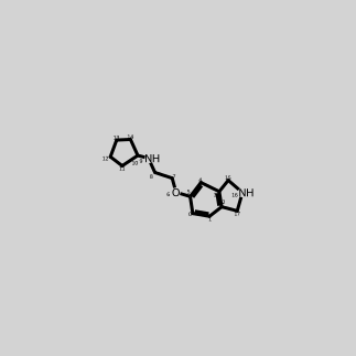 c1cc2c(cc1OCCNC1CCCC1)CNC2